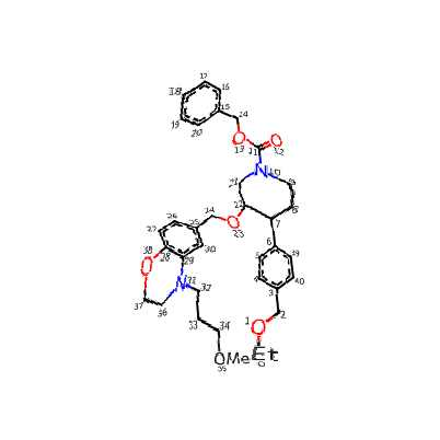 CCOCc1ccc(C2CCN(C(=O)OCc3ccccc3)CC2OCc2ccc3c(c2)N(CCCOC)CCO3)cc1